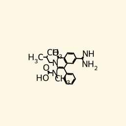 CC(C)Cn1c(N(C)C(=O)O)c(-c2ccccc2)c2cc(C(=N)N)ccc2c1=O